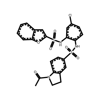 CC(=O)N1CCc2cc(S(=O)(=O)Nc3ccc(Cl)cc3NS(=O)(=O)c3cc4ccccc4o3)ccc21